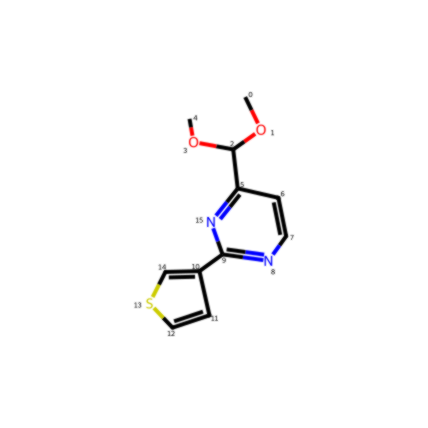 COC(OC)c1ccnc(-c2ccsc2)n1